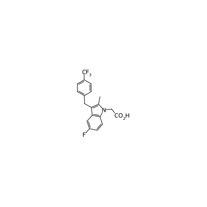 Cc1c(Cc2ccc(C(F)(F)F)cc2)c2cc(F)ccc2n1CC(=O)O